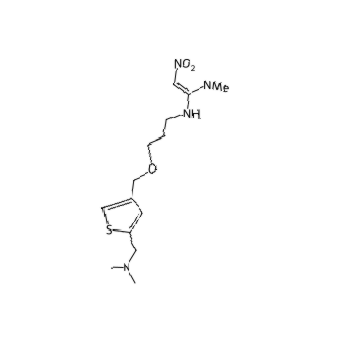 CNC(=C[N+](=O)[O-])NCCCOCc1csc(CN(C)C)c1